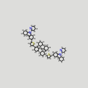 c1ccc(-n2c3ccccc3c3cc(-c4ccc(-c5ccc6c(c5)C5(c7ccccc7-c7ccccc75)c5cc(-c7ccc(-c8ccc9c(c8)c8ccccc8n9-c8ccccn8)s7)ccc5-6)s4)ccc32)nc1